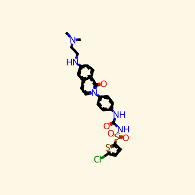 CN(C)CCNc1ccc2c(=O)n(-c3ccc(NC(=O)NS(=O)(=O)c4ccc(Cl)s4)cc3)ccc2c1